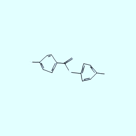 O=[N+]([O-])c1ccc(C(=S)Nc2ccc(C(F)(F)F)cc2)cc1